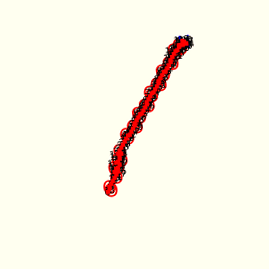 C=CC(=O)OCCCCCCOc1ccc(C(=O)Oc2ccc(OC(=O)c3ccc(OCCCCCCCCOC(=O)CCCCCOC(=O)CCCCCOC(=O)CCCCCOC(=O)CCCCCOC(=O)CCCCCOC(=O)CCCCCOC(=O)CCCCCOC(=O)CCCCCOC(=O)CCC(=O)OC4CC(C)(C)N(C)C(C)(C)C4)cc3)cc2)cc1